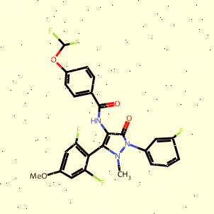 COc1cc(F)c(-c2c(NC(=O)c3ccc(OC(F)F)cc3)c(=O)n(-c3cccc(F)c3)n2C)c(F)c1